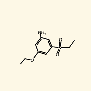 CCOc1cc(N)cc(S(=O)(=O)CC)c1